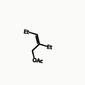 CCC=C(CC)COC(C)=O